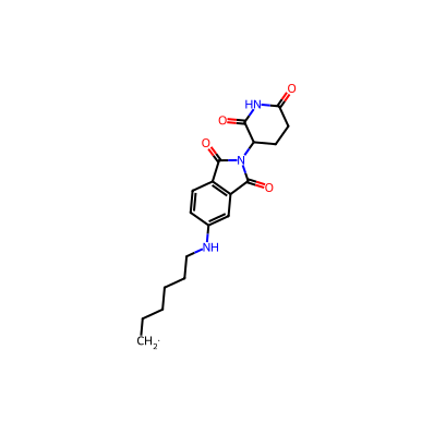 [CH2]CCCCCNc1ccc2c(c1)C(=O)N(C1CCC(=O)NC1=O)C2=O